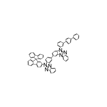 c1ccc(-c2ccc(-c3cccc(-n4c5ccc(-c6ccc7c(c6)n6c8ccccc8nc6n7-c6ccc7c(c6)C6(c8ccccc8-c8ccccc86)c6ccccc6-7)cc5n5c6ccccc6nc45)c3)cc2)cc1